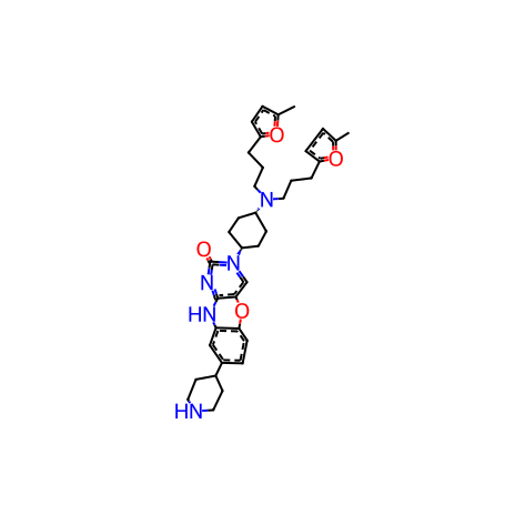 Cc1ccc(CCCN(CCCc2ccc(C)o2)[C@H]2CC[C@H](n3cc4c(nc3=O)Nc3cc(C5CCNCC5)ccc3O4)CC2)o1